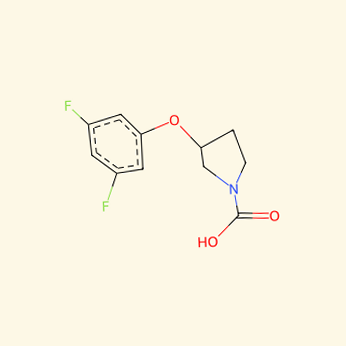 O=C(O)N1CCC(Oc2cc(F)cc(F)c2)C1